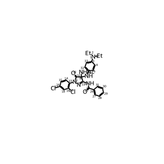 CCN(CC)c1ccc(NC2(NC(C)=O)C(=O)N(c3ccc(Cl)cc3Cl)N=C2NC(=O)c2ccccc2)cc1